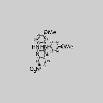 COC1=C=C=C(Nc2nc3cc([N+](=O)[O-])ccc3nc2NC2=CC=C(OC)CC2)C=C1